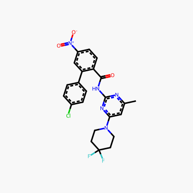 Cc1cc(N2CCC(F)(F)CC2)nc(NC(=O)c2ccc([N+](=O)[O-])cc2-c2ccc(Cl)cc2)n1